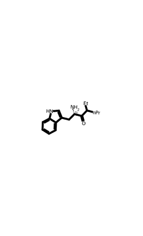 CCCC(CC)C(=O)[C@@H](N)Cc1c[nH]c2ccccc12